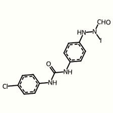 O=CN(I)Nc1ccc(NC(=O)Nc2ccc(Cl)cc2)cc1